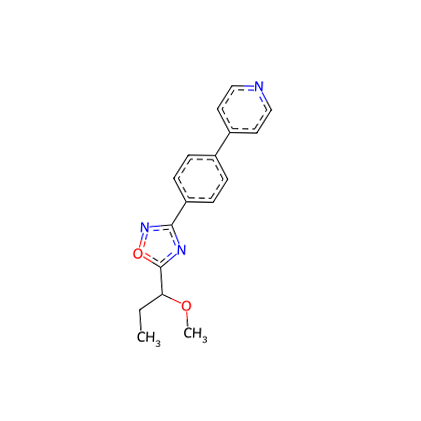 CCC(OC)c1nc(-c2ccc(-c3ccncc3)cc2)no1